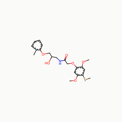 COc1cc(SC)c(OC)cc1OCC(=O)NCC(O)COc1ccccc1C